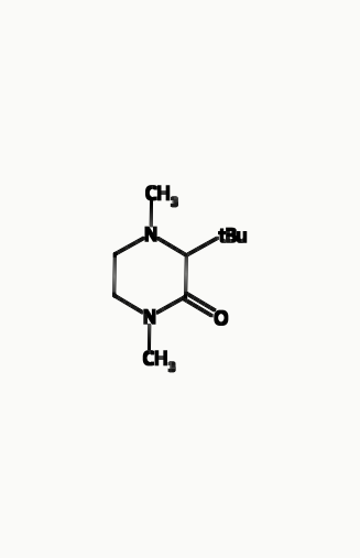 CN1CCN(C)C(C(C)(C)C)C1=O